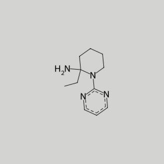 CCC1(N)CCCCN1c1ncccn1